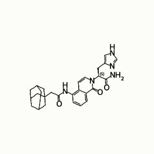 NC(=O)[C@H](Cc1c[nH]cn1)n1ccc2c(NC(=O)CC34CC5CC(CC(C5)C3)C4)cccc2c1=O